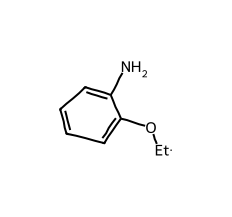 C[CH]Oc1ccccc1N